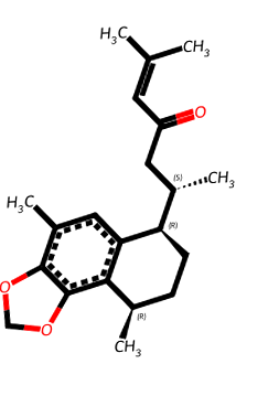 CC(C)=CC(=O)C[C@H](C)[C@H]1CC[C@@H](C)c2c1cc(C)c1c2OCO1